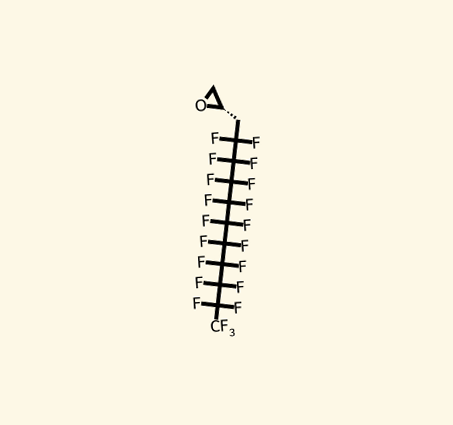 FC(F)(F)C(F)(F)C(F)(F)C(F)(F)C(F)(F)C(F)(F)C(F)(F)C(F)(F)C(F)(F)C(F)(F)C[C@H]1CO1